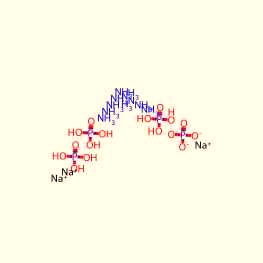 N.N.N.N.N.N.N.N.N.O=P(O)(O)O.O=P(O)(O)O.O=P(O)(O)O.O=P([O-])([O-])[O-].[Na+].[Na+].[Na+]